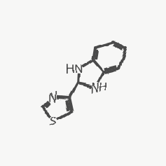 c1ccc2c(c1)NC(c1cscn1)N2